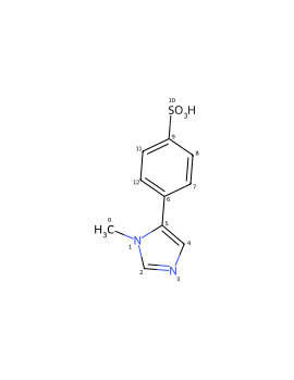 Cn1cncc1-c1ccc(S(=O)(=O)O)cc1